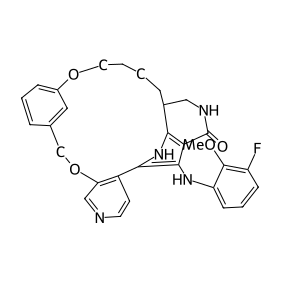 COc1c(F)cccc1Nc1c2[nH]c3c1C(=O)NCC3CCCCOc1cccc(c1)COc1cnccc1-2